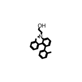 Cc1ccccc1-c1cccc(N(C)CCO)c1-c1ccccc1C